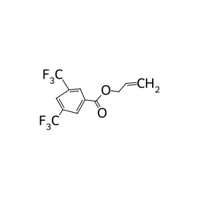 C=CCOC(=O)c1cc(C(F)(F)F)cc(C(F)(F)F)c1